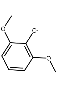 COc1cccc(OC)c1[O]